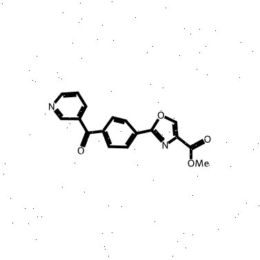 COC(=O)c1coc(-c2ccc(C(=O)c3cccnc3)cc2)n1